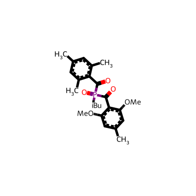 CCC(C)P(=O)(C(=O)c1c(C)cc(C)cc1C)C(=O)c1c(OC)cc(C)cc1OC